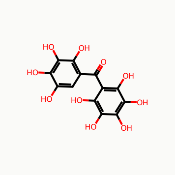 O=C(c1cc(O)c(O)c(O)c1O)c1c(O)c(O)c(O)c(O)c1O